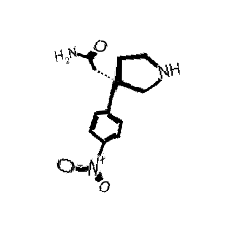 NC(=O)C[C@]1(c2ccc([N+](=O)[O-])cc2)CCNC1